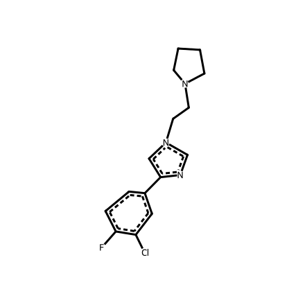 Fc1ccc(-c2cn(CCN3CCCC3)cn2)cc1Cl